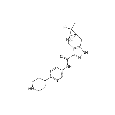 CC12Cc3[nH]nc(C(=O)Nc4ccc(C5CCNCC5)nc4)c3CC1C2(F)F